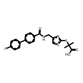 CC(C)(Sc1nc(CNC(=O)c2ccc(-c3ccc(F)cc3)cc2)cs1)C(=O)O